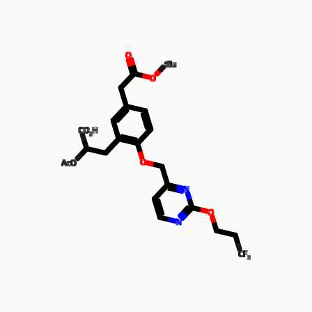 CC(=O)OC(Cc1cc(CC(=O)OC(C)(C)C)ccc1OCc1ccnc(OCCC(F)(F)F)n1)C(=O)O